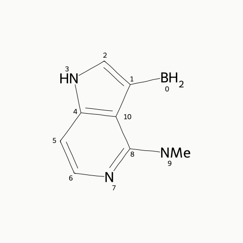 Bc1c[nH]c2ccnc(NC)c12